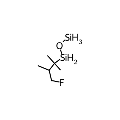 CC(CF)C(C)(C)[SiH2]O[SiH3]